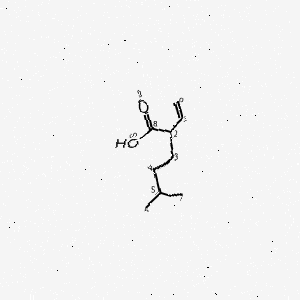 C=CC(CCC(C)C)C(=O)O